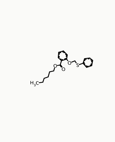 CCCCCCOC(=O)c1ccccc1OCSc1ccccc1